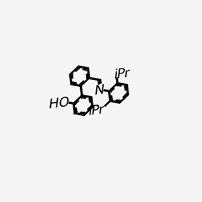 CC(C)c1cccc(C(C)C)c1N=Cc1ccccc1-c1ccccc1O